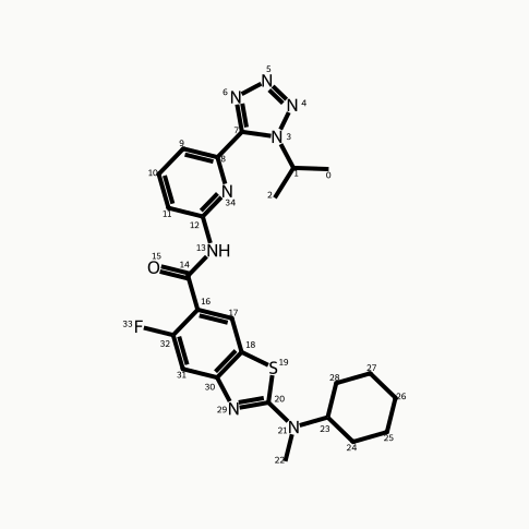 CC(C)n1nnnc1-c1cccc(NC(=O)c2cc3sc(N(C)C4CCCCC4)nc3cc2F)n1